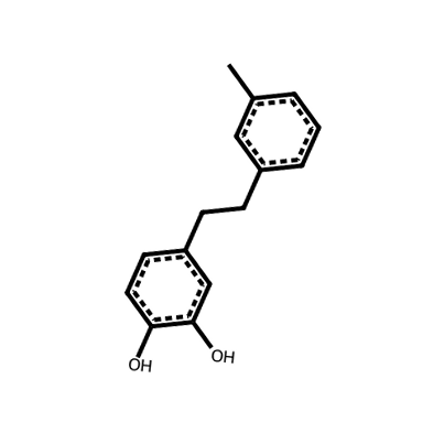 Cc1cccc(CCc2ccc(O)c(O)c2)c1